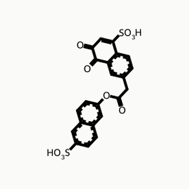 O=C(Cc1ccc2c(c1)C(=O)C(=O)C=C2S(=O)(=O)O)Oc1ccc2cc(S(=O)(=O)O)ccc2c1